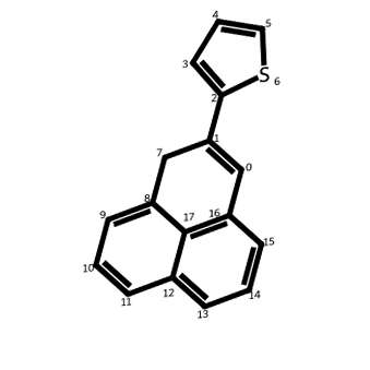 C1=C(c2cccs2)Cc2cccc3cccc1c23